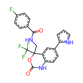 O=C1Nc2ccc(-c3ccc[nH]3)cc2C(CNC(=O)c2ccc(F)cc2)(C(F)(F)F)O1